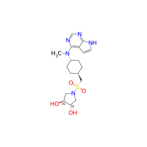 CN(c1ncnc2[nH]ccc12)[C@H]1CC[C@H](CS(=O)(=O)N2C[C@H](O)[C@@H](O)C2)CC1